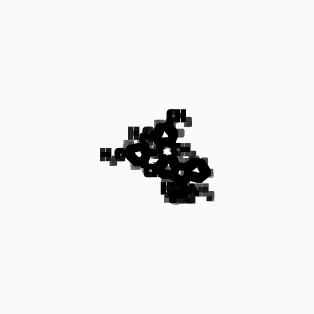 CCCCNC1(C(N)CCC)c2ccccc2-c2cc(B(c3c(C)cc(C)cc3C)c3c(C)cc(C)cc3C)ccc21